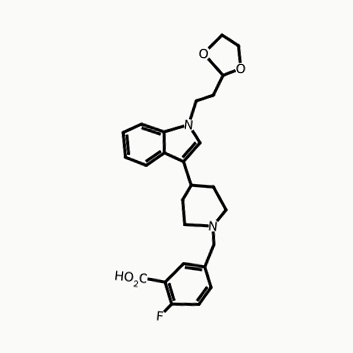 O=C(O)c1cc(CN2CCC(c3cn(CCC4OCCO4)c4ccccc34)CC2)ccc1F